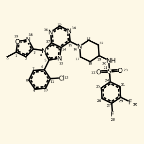 Cc1cc(-n2c(-c3ccccc3Cl)nc3c(N4CCC(NS(=O)(=O)c5ccc(F)c(F)c5)CC4)ncnc32)no1